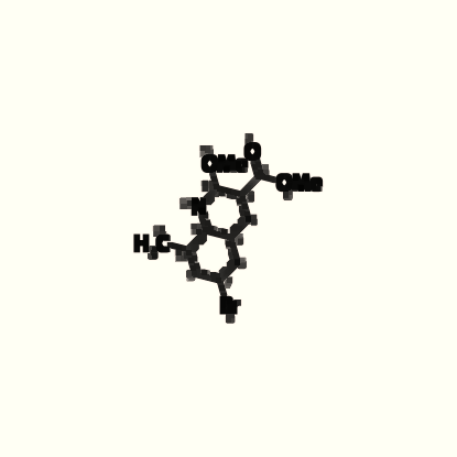 COC(=O)c1cc2cc(Br)cc(C)c2nc1OC